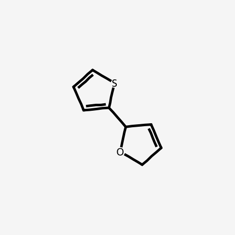 C1=CC(c2cccs2)OC1